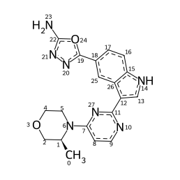 C[C@H]1COCCN1c1ccnc(-c2c[nH]c3ccc(-c4nnc(N)o4)cc23)n1